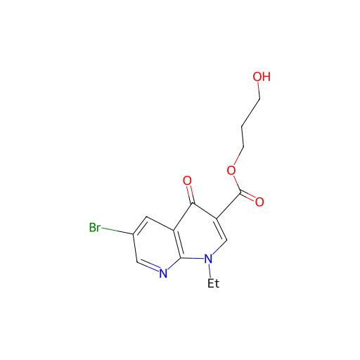 CCn1cc(C(=O)OCCCO)c(=O)c2cc(Br)cnc21